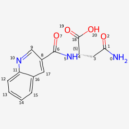 NC(=O)C[C@H](NC(=O)c1cnc2ccccc2c1)C(=O)O